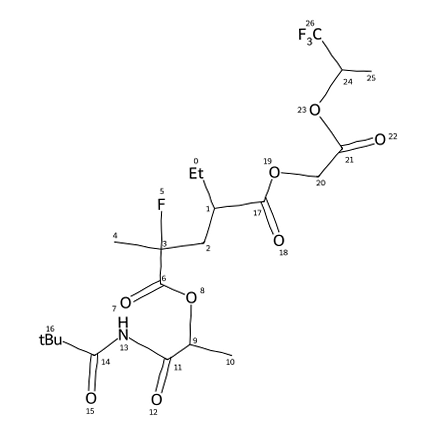 CCC(CC(C)(F)C(=O)OC(C)C(=O)NC(=O)C(C)(C)C)C(=O)OCC(=O)OC(C)C(F)(F)F